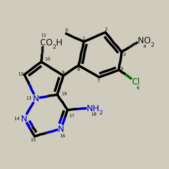 Cc1cc([N+](=O)[O-])c(Cl)cc1-c1c(C(=O)O)cn2ncnc(N)c12